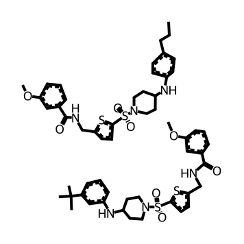 CCCc1ccc(NC2CCN(S(=O)(=O)c3ccc(CNC(=O)c4cccc(OC)c4)s3)CC2)cc1.COc1cccc(C(=O)NCc2ccc(S(=O)(=O)N3CCC(Nc4cccc(C(C)(C)C)c4)CC3)s2)c1